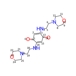 O=C1C=C(NCCN2CCOCC2)C(=O)C=C1NCCN1CCOCC1